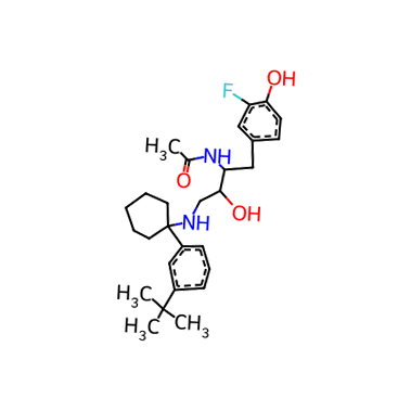 CC(=O)NC(Cc1ccc(O)c(F)c1)C(O)CNC1(c2cccc(C(C)(C)C)c2)CCCCC1